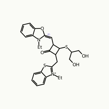 CCN1/C(=C\C2C(=O)C(Cc3sc4ccccc4[n+]3CC)C2SC(CO)CO)Oc2ccccc21